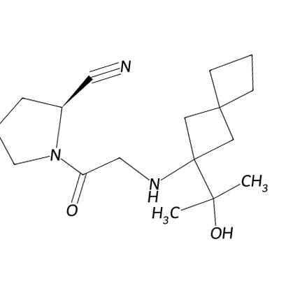 CC(C)(O)C1(NCC(=O)N2CCC[C@H]2C#N)CC2(CCC2)C1